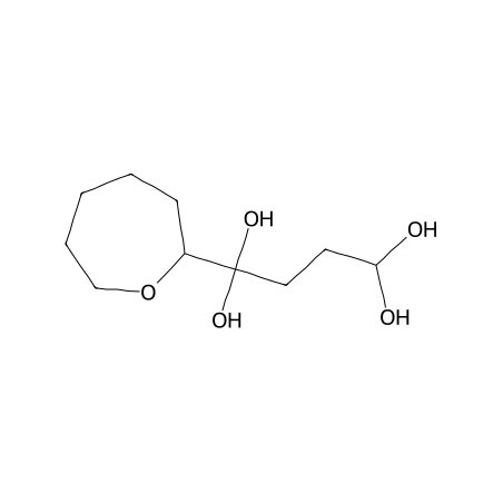 OC(O)CCC(O)(O)C1CCCCCO1